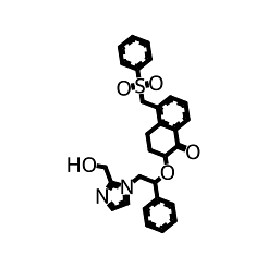 O=C1c2cccc(CS(=O)(=O)c3ccccc3)c2CCC1OC(Cn1ccnc1CO)c1ccccc1